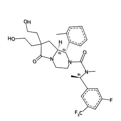 Cc1ccccc1[C@H]1[C@@H]2CC(CCO)(CCO)C(=O)N2CCN1C(=O)N(C)[C@H](C)c1cc(F)cc(C(F)(F)F)c1